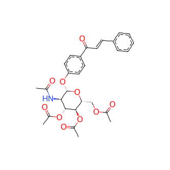 CC(=O)N[C@H]1[C@H](Oc2ccc(C(=O)/C=C/c3ccccc3)cc2)O[C@H](COC(C)=O)[C@@H](OC(C)=O)[C@@H]1OC(C)=O